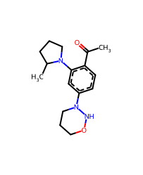 CC(=O)c1ccc(N2CCCON2)cc1N1CCCC1C